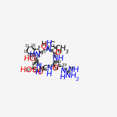 CC(C)[C@H]1NC(=O)[C@H](Cc2ccccc2)NC(O)[C@H](CC(=O)O)NC(=O)CNC(=O)[C@H](CCCNC(=N)N)NC1=O